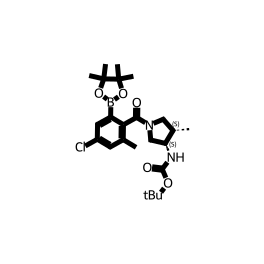 Cc1cc(Cl)cc(B2OC(C)(C)C(C)(C)O2)c1C(=O)N1C[C@H](C)[C@H](NC(=O)OC(C)(C)C)C1